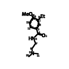 CCc1cc(C(=O)NCCN(C)C)ccc1OC